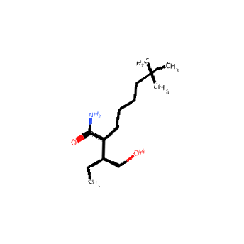 CCC(CO)C(CCCCC(C)(C)C)C(N)=O